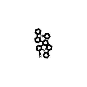 N#Cc1cccc(-c2ccccc2-c2cccc3c4ccccc4n(-c4ccccc4)c23)c1-n1c2ccccc2c2ccccc21